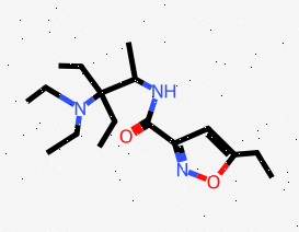 CCc1cc(C(=O)NC(C)C(CC)(CC)N(CC)CC)no1